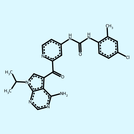 Cc1cc(Cl)ccc1NC(=O)Nc1ccnc(C(=O)c2cn(C(C)C)c3ncnc(N)c23)c1